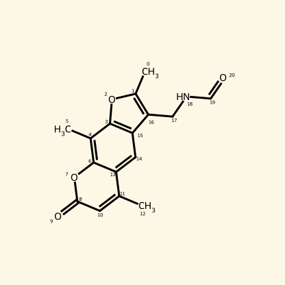 Cc1oc2c(C)c3oc(=O)cc(C)c3cc2c1CNC=O